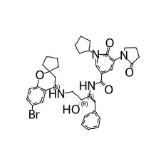 O=C(N[C@@H](Cc1ccccc1)[C@H](O)CN[C@H]1CC2(CCCC2)Oc2ccc(Br)cc21)c1cc(N2CCCC2=O)c(=O)n(C2CCCC2)c1